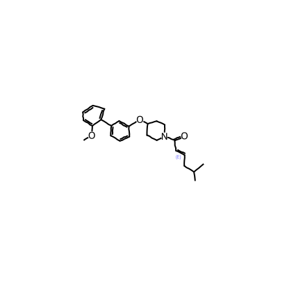 COc1ccccc1-c1cccc(OC2CCN(C(=O)/C=C/CC(C)C)CC2)c1